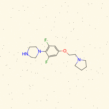 Fc1cc(OCCN2CCCC2)cc(F)c1N1CCNCC1